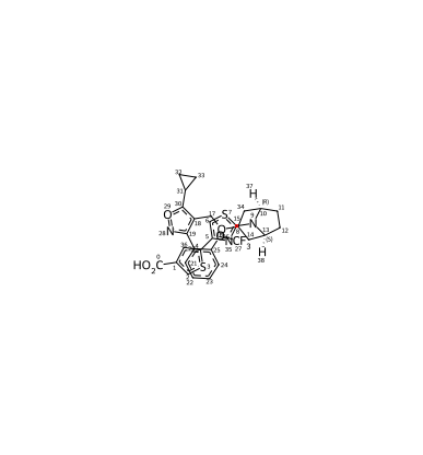 O=C(O)c1csc(-c2csc(N3[C@@H]4CC[C@H]3CC(OCc3c(-c5ccccc5OC(F)(F)F)noc3C3CC3)C4)n2)c1